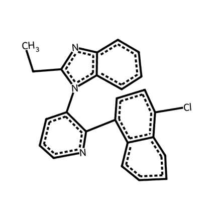 CCc1nc2ccccc2n1-c1cccnc1-c1ccc(Cl)c2ccccc12